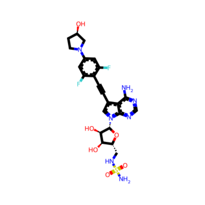 Nc1ncnc2c1c(C#Cc1c(F)cc(N3CC[C@@H](O)C3)cc1F)cn2[C@@H]1O[C@H](CNS(N)(=O)=O)[C@@H](O)[C@H]1O